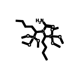 CCCCC(N(C(N)=O)C(CCCC)[Si](OC)(OC)OC)[Si](OC)(OC)OC